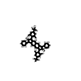 Cc1cc(C(C)(C)C)cc(C)c1C1=c2cc3cc4c(cc3cc2-c2c1sc1ccccc21)=C(c1c(C)cc(C(C)(C)C)cc1C)c1sc2ccccc2c1-4